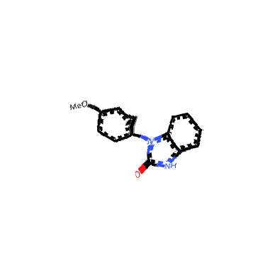 COc1ccc(-n2c(=O)[nH]c3c[c]ccc32)cc1